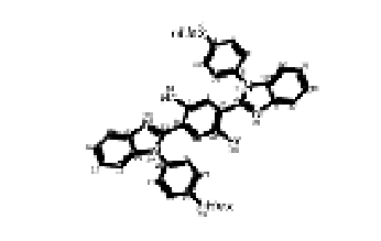 CCCCCCc1ccc(-n2c(-c3cc(Br)c(-c4nc5ccccc5n4-c4ccc(CCCCCC)cc4)cc3Br)nc3ccccc32)cc1